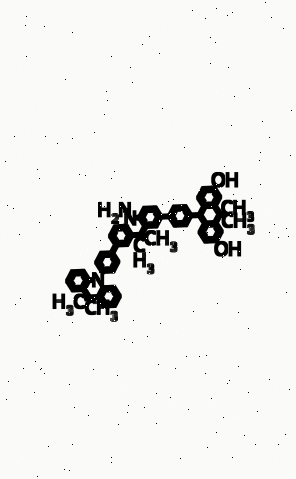 CC1(C)c2cc(O)ccc2C(c2ccc(-c3ccc4c(c3)C(C)(C)c3cc(-c5ccc(N6c7ccccc7C(C)(C)c7ccccc76)cc5)ccc3N4N)cc2)c2ccc(O)cc21